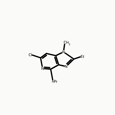 CCCc1nc(Cl)cc2c1nc(CC)n2C